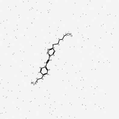 CCCCCCc1ccc(C#Cc2ccc(CCC)cc2)nn1